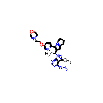 Cc1nn(C(C)c2cc3ccccn3c2-c2ccc(OCCN3CCOCC3)cn2)c2ncnc(N)c12